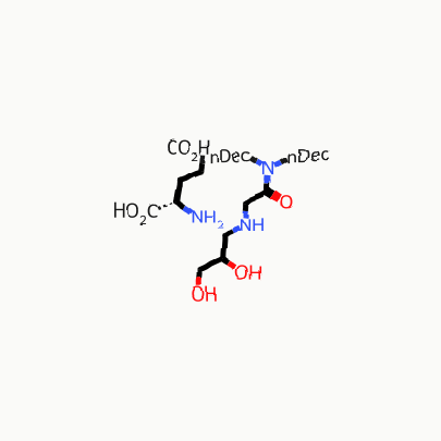 CCCCCCCCCCN(CCCCCCCCCC)C(=O)CNCC(O)CO.N[C@@H](CCC(=O)O)C(=O)O